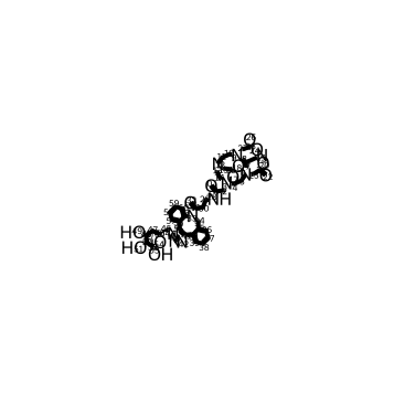 O=C(CN1CCN2CCN3CCN(CC1)CC(=O)ON(OC(=O)C2)OC(=O)C3)NCCC(=O)N1Cc2ccccc2-c2nnn(C[C@@H]3C[C@H](O)[C@@H](O)C(O)O3)c2-c2ccccc21